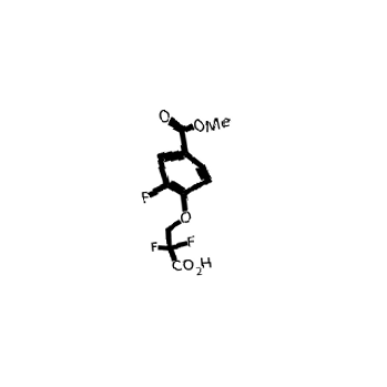 COC(=O)c1ccc(OCC(F)(F)C(=O)O)c(F)c1